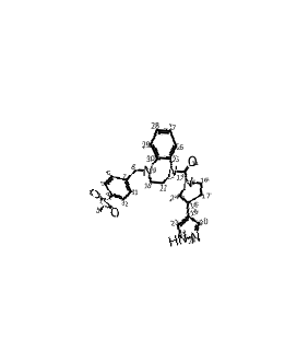 CS(=O)(=O)c1ccc(CN2CCN(C(=O)N3CCC(c4cn[nH]c4)C3)c3ccccc32)cc1